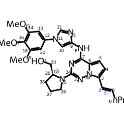 CCC/C=C/c1ccc2c(Nc3cn(-c4cc(OC)c(OC)c(OC)c4)cn3)nc(N3CCC[C@H]3CO)nn12